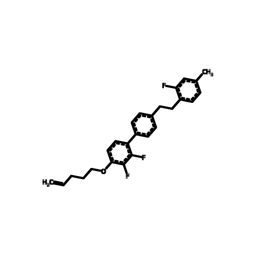 C=CCCCOc1ccc(-c2ccc(CCc3ccc(C)cc3F)cc2)c(F)c1F